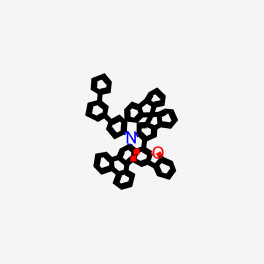 c1ccc(-c2cccc(-c3ccc(N(c4ccc5c6ccccc6c6ccccc6c5c4)c4cc5c(cc4-c4cccc6c4oc4ccccc46)-c4ccccc4C54c5ccccc5-c5ccccc54)cc3)c2)cc1